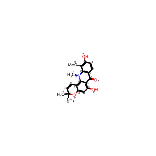 COc1c(O)ccc2c(=O)c3c(O)cc4c(c3n(C)c12)C=CC(C)(C)O4